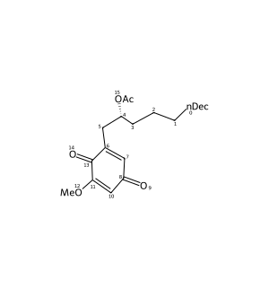 CCCCCCCCCCCCC[C@H](CC1=CC(=O)C=C(OC)C1=O)OC(C)=O